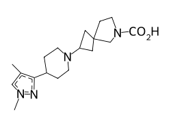 Cc1cn(C)nc1C1CCN(C2CC3(CCN(C(=O)O)C3)C2)CC1